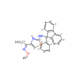 CCOC(=O)/C(=N/OC(C)C)c1csc(NC(c2ccccc2)(c2ccccc2)c2ccccc2)n1